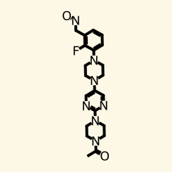 CC(=O)N1CCN(c2ncc(N3CCN(c4cccc(CN=O)c4F)CC3)cn2)CC1